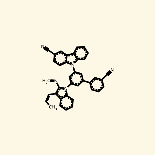 C=Nc1c(/C=C\C)c2ccccc2n1-c1cc(-c2cccc(C#N)c2)cc(-n2c3ccccc3c3cc(C#N)ccc32)c1